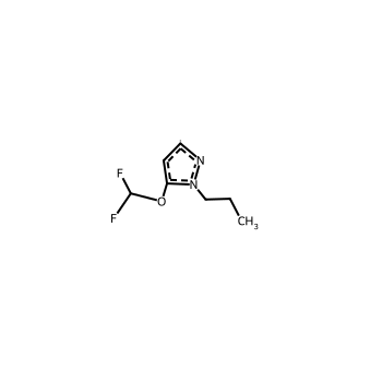 CCCn1n[c]cc1OC(F)F